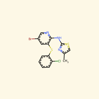 Cc1csc(Nc2ncc(Br)cc2Sc2ccccc2Cl)n1